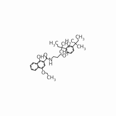 CCOc1cc(C(=O)NCCCOc2ccc(C(C)(C)CC)cc2C(C)(C)CC)c(O)c2ccccc12